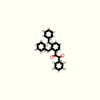 O=C(C(=O)c1cccc(Cc2ccccc2)c1Cc1ccccc1)c1ccccc1